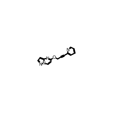 C(#Cc1ccccn1)COc1ccn2nccc2n1